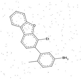 Bc1ccc(C)c(-c2ccc3c(oc4ccccc43)c2CC)c1